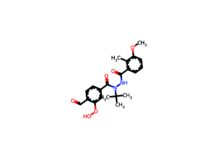 COc1cccc(C(=O)NN(C(=O)c2ccc(C=O)c(OO)c2)C(C)(C)C)c1C